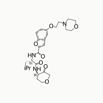 CC(C)C[C@H](NC(=O)c1cc2cc(OCCN3CCOCC3)ccc2o1)C(=O)N[C@@H]1CCOCC1=O